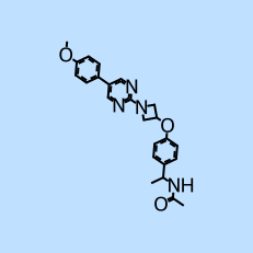 COc1ccc(-c2cnc(N3CC(Oc4ccc(C(C)NC(C)=O)cc4)C3)nc2)cc1